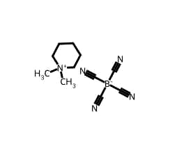 C[N+]1(C)CCCCC1.N#C[B-](C#N)(C#N)C#N